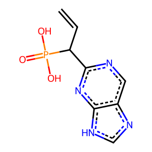 C=CC(c1ncc2nc[nH]c2n1)P(=O)(O)O